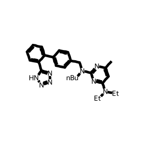 CCCCN(Cc1ccc(-c2ccccc2-c2nnn[nH]2)cc1)c1nc(C)cc(N(CC)CC)n1